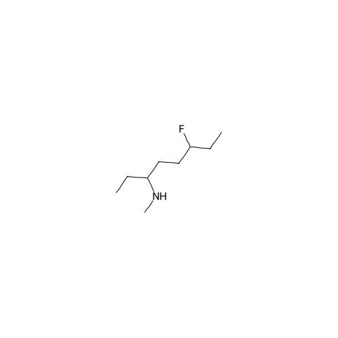 CCC(F)CCC(CC)NC